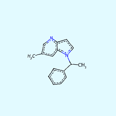 Cc1cnc2ccn(C(C)c3ccccc3)c2c1